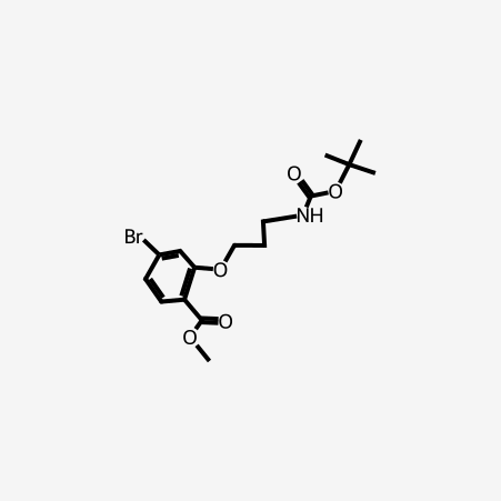 COC(=O)c1ccc(Br)cc1OCCCNC(=O)OC(C)(C)C